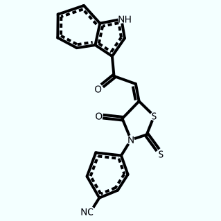 N#Cc1ccc(N2C(=O)C(=CC(=O)c3c[nH]c4ccccc34)SC2=S)cc1